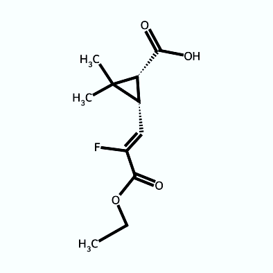 CCOC(=O)C(F)=C[C@H]1[C@@H](C(=O)O)C1(C)C